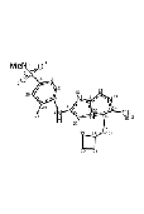 CNS(=O)(=O)c1ccc(Nc2nc3cnc(C(F)(F)F)c(OC4CCC4)n3n2)c(C)c1